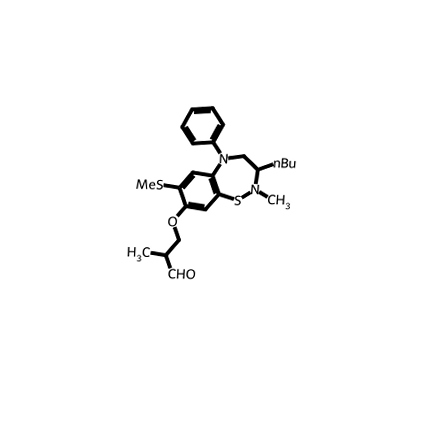 CCCCC1CN(c2ccccc2)c2cc(SC)c(OCC(C)C=O)cc2SN1C